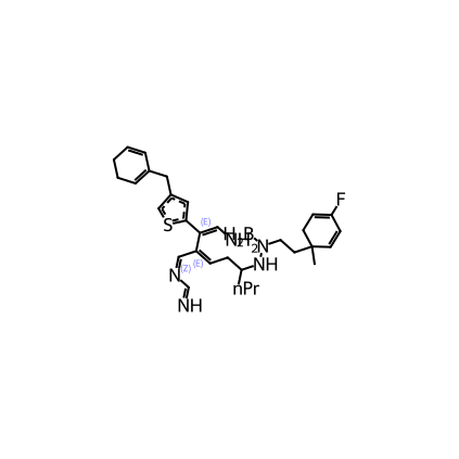 BN(CCC1(C)C=CC(F)=CC1)NC(C/C=C(/C=N\C=N)C(=C/N)\c1cc(CC2=CCCC=C2)cs1)CCC